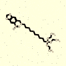 CCO[Si](CCCCCCCCCCOCc1cc2c(cc1[N+](=O)[O-])OCO2)(OCC)OCC